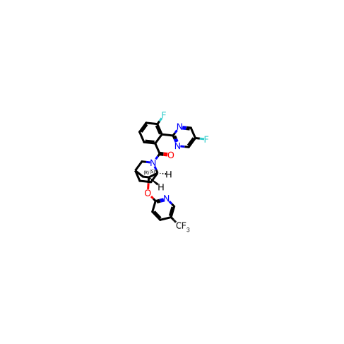 O=C(c1cccc(F)c1-c1ncc(F)cn1)N1CC2CC[C@H]1[C@H](Oc1ccc(C(F)(F)F)cn1)C2